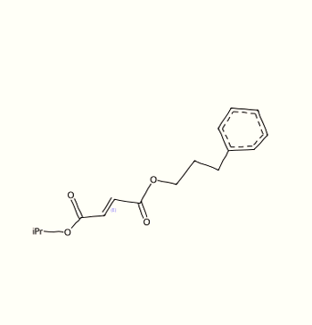 CC(C)OC(=O)/C=C/C(=O)OCCCc1ccccc1